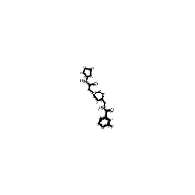 O=C(CN1CCC(CNC(=O)c2cccc(F)c2)CC1)NC1CCCC1